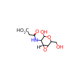 O=C(O)CC(=O)NC1C(O)OC(CO)C2O[C@H]12